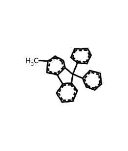 Cc1ccc2c(c1)-c1ccccc1C2(c1ccccc1)c1ccccc1